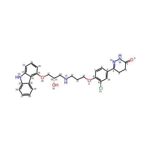 O=C1CCC(c2ccc(OCCCNC[C@H](O)COc3cccc4[nH]c5ccccc5c34)c(Cl)c2)=NN1